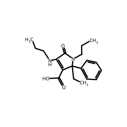 CCCNC1=C(C(=O)O)C(CC)(c2ccccc2)N(CCC)C1=O